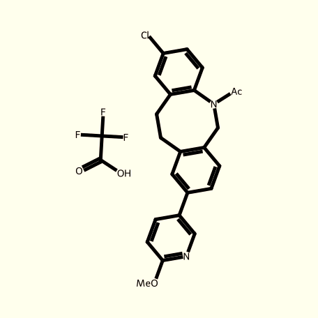 COc1ccc(-c2ccc3c(c2)CCc2cc(Cl)ccc2N(C(C)=O)C3)cn1.O=C(O)C(F)(F)F